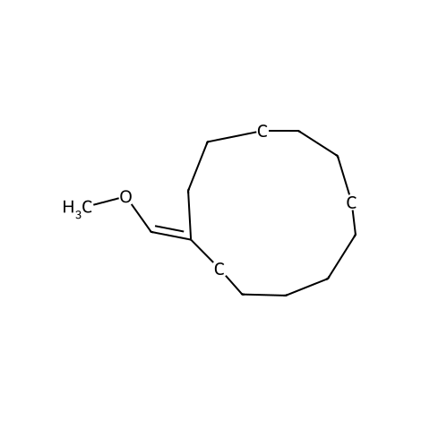 COC=C1CCCCCCCCCCC1